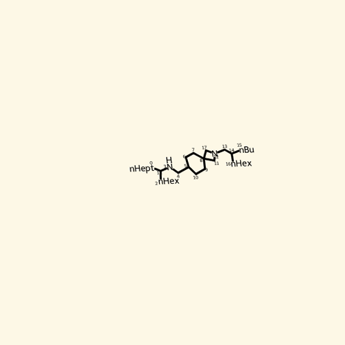 CCCCCCCC(CCCCCC)NCC1CCC2(CC1)CN(CC(CCCC)CCCCCC)C2